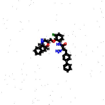 N[C@@H](Cc1ccc(-c2ccccc2)cc1)C(=O)Nc1cccc(F)c1OC[C@@H]1CN[C@@H]2c3ccccc3C[C@@H]2O1